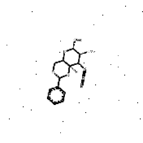 CO[C@@H]1OC2COC(c3ccccc3)O[C@@H]2C(N=[N+]=[N-])[C@@H]1OC